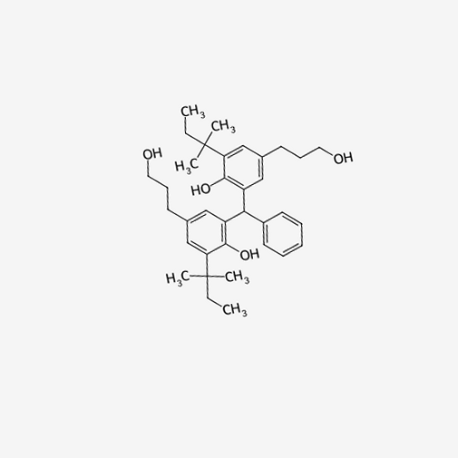 CCC(C)(C)c1cc(CCCO)cc(C(c2ccccc2)c2cc(CCCO)cc(C(C)(C)CC)c2O)c1O